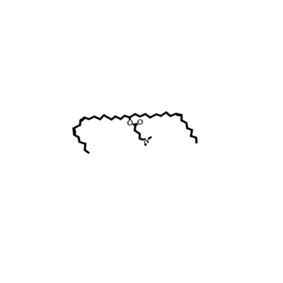 CCCCC/C=C\C/C=C\CCCCCCCCC(CCCCCCCC/C=C\CCCCCCC)OC(=O)CCCN(C)C